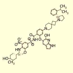 CC(C)c1ccccc1[C@@H]1CCCN1C1CC2(CCN(c3ccc(C(=O)NS(=O)(=O)c4cc5c(c([N+](=O)[O-])c4)N[C@@H]([C@H]4CC[C@](C)(O)CC4)CO5)c(Oc4cc5cc[nH]c5nc4O)c3)CC2)C1